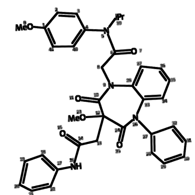 COc1ccc(N(C(=O)CN2C(=O)C(CC(=O)Nc3ccccc3)(OC)C(=O)N(c3ccccc3)c3ccccc32)C(C)C)cc1